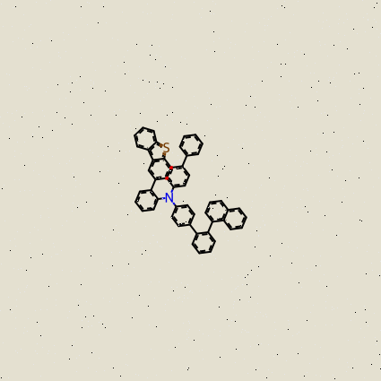 c1ccc(-c2ccc(N(c3ccc(-c4ccccc4-c4cccc5ccccc45)cc3)c3ccccc3-c3ccc4sc5ccccc5c4c3)cc2)cc1